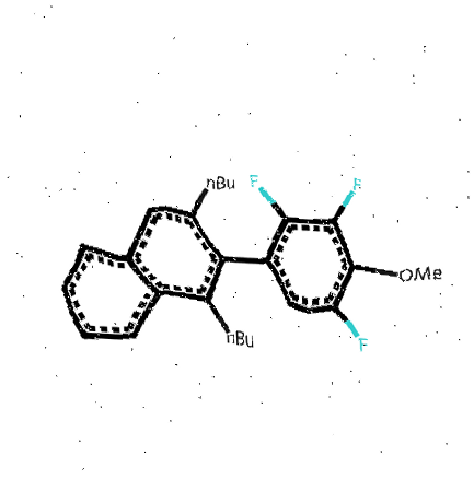 CCCCc1cc2ccccc2c(CCCC)c1-c1cc(F)c(OC)c(F)c1F